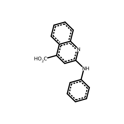 O=C(O)c1cc(Nc2ccccc2)nc2ccccc12